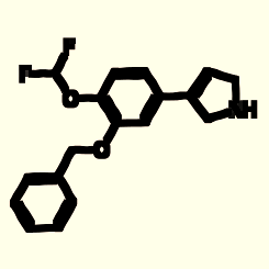 FC(F)Oc1ccc(C2=CCNC2)cc1OCc1ccccc1